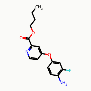 CCCCOC(=O)c1cc(Oc2ccc(N)c(F)c2)ccn1